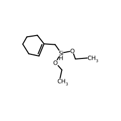 CCO[SiH](CC1=CCCCC1)OCC